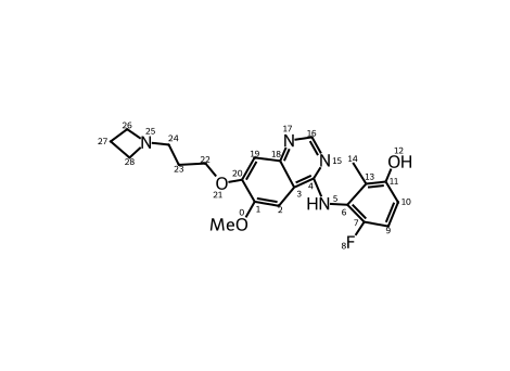 COc1cc2c(Nc3c(F)ccc(O)c3C)ncnc2cc1OCCCN1CCC1